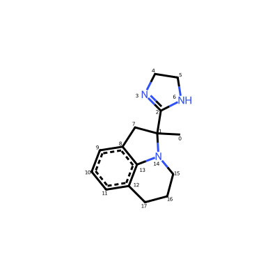 CC1(C2=NCCN2)Cc2cccc3c2N1CCC3